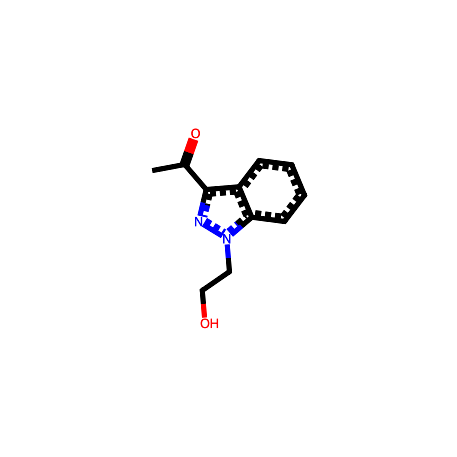 CC(=O)c1nn(CCO)c2ccccc12